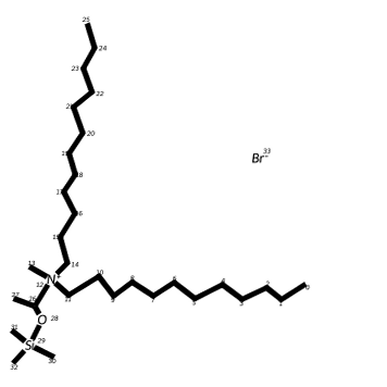 CCCCCCCCCCCC[N+](C)(CCCCCCCCCCCC)C(C)O[Si](C)(C)C.[Br-]